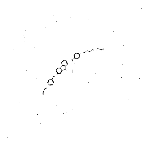 CC1c2cc(OC(=O)c3ccc(OCCCCOCC4CO4)cc3)ccc2-c2ccc(OC(=O)c3ccc(OCC4CO4)cc3)cc21